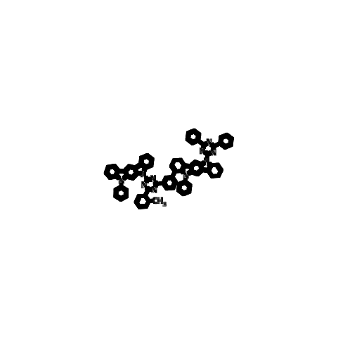 CC1C=CC=CC1c1nc(-c2cccc(C3=CCCc4c3n(-c3ccccc3)c3cc5c6c(n(-c7nc(-c8ccccc8)nc(-c8ccccc8)n7)c5cc43)C=CCC6)c2)nc(-n2c3ccccc3c3cc4c5ccccc5n(-c5ccccc5)c4cc32)n1